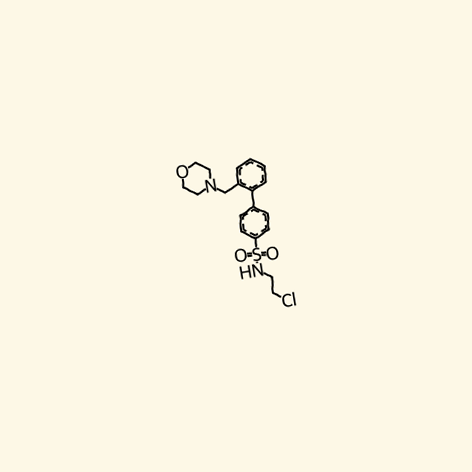 O=S(=O)(NCCCl)c1ccc(-c2ccccc2CN2CCOCC2)cc1